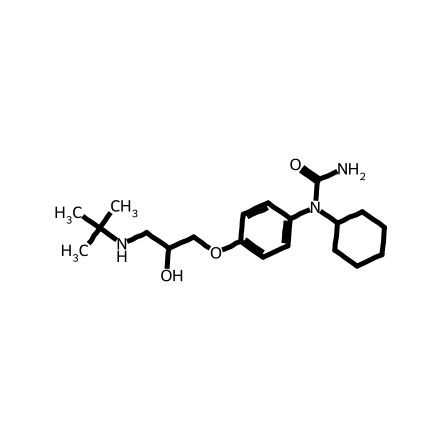 CC(C)(C)NCC(O)COc1ccc(N(C(N)=O)C2CCCCC2)cc1